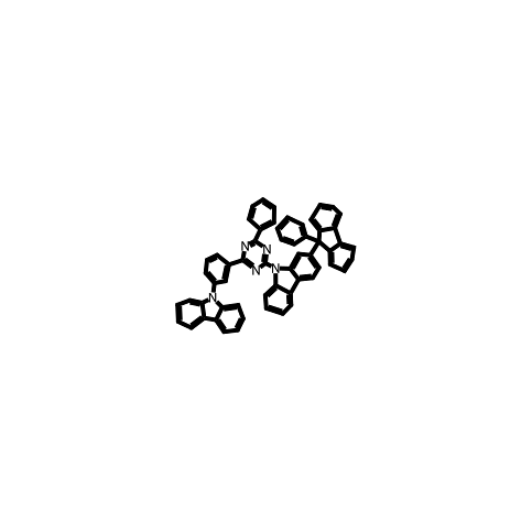 c1ccc(-c2nc(-c3cccc(-n4c5ccccc5c5ccccc54)c3)nc(-n3c4ccccc4c4ccc(C5(c6ccccc6)c6ccccc6-c6ccccc65)cc43)n2)cc1